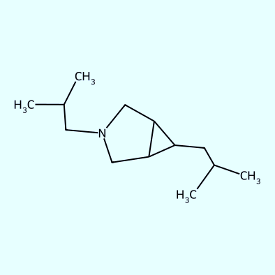 CC(C)CC1C2CN(CC(C)C)CC12